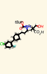 CCCC(CO)(C[C@@H](CCc1ccc(-c2cc(Cl)ccc2F)cc1)NC(=O)OC(C)(C)C)C(=O)O